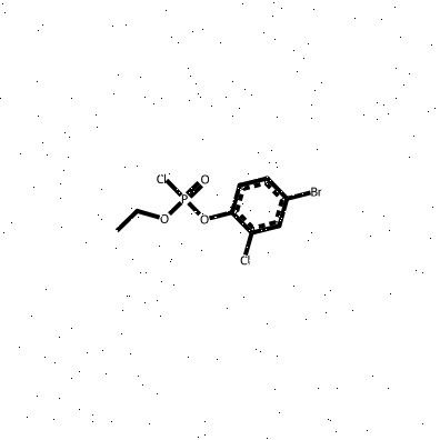 CCOP(=O)(Cl)Oc1ccc(Br)cc1Cl